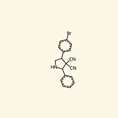 N#CC1(C#N)C(c2ccc(Br)cc2)CNC1c1ccccc1